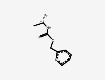 CC(C)[C@@H](C)NC(=O)OCc1ccccn1